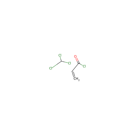 C=CC(=O)Cl.ClC(Cl)Cl